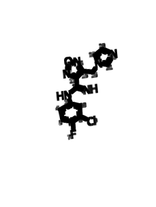 N=C(Nc1ccc(F)c(Cl)c1)c1nonc1Cn1ccnc1